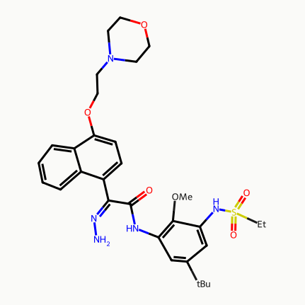 CCS(=O)(=O)Nc1cc(C(C)(C)C)cc(NC(=O)C(=NN)c2ccc(OCCN3CCOCC3)c3ccccc23)c1OC